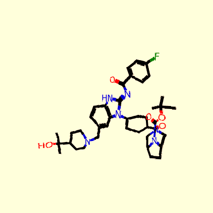 CC(C)(C)OC(=O)N1CC2CCC(C1)N2C(=O)C1CCC(n2/c(=N/C(=O)c3ccc(F)cc3)[nH]c3ccc(CN4CCC(C(C)(C)O)CC4)cc32)CC1